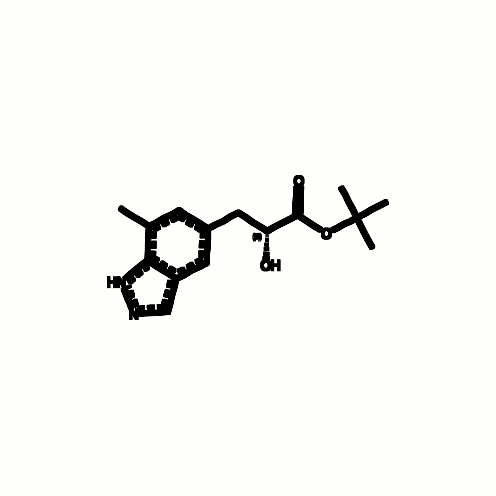 Cc1cc(C[C@@H](O)C(=O)OC(C)(C)C)cc2cn[nH]c12